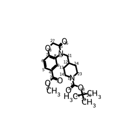 COC(=O)c1ccc2c(c1)N(CC1CCN(C(=O)OC(C)(C)C)CC1)C(=O)CO2